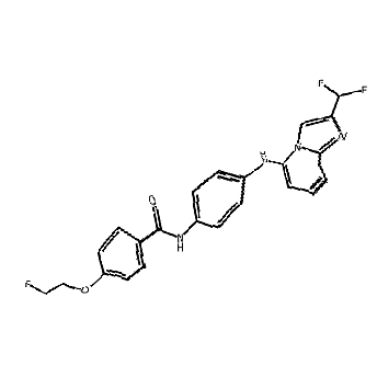 O=C(Nc1ccc(Nc2cccc3nc(C(F)F)cn23)cc1)c1ccc(OCCF)cc1